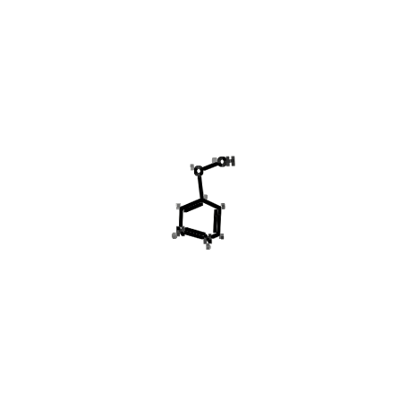 OOc1ccnnc1